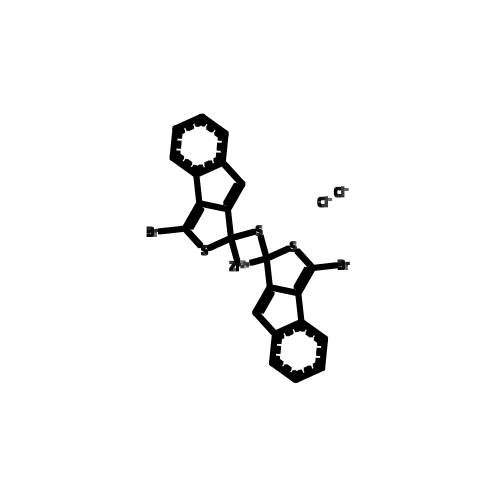 BrC1=C2C(=Cc3ccccc32)[C]2(S1)S[C]1(SC(Br)=C3C1=Cc1ccccc13)[Zr+2]2.[Cl-].[Cl-]